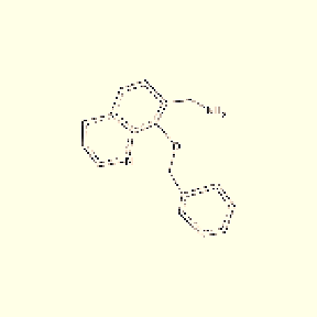 NCc1ccc2cccnc2c1OCc1ccccc1